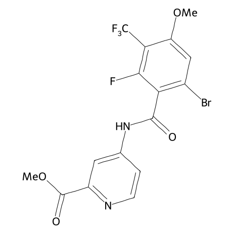 COC(=O)c1cc(NC(=O)c2c(Br)cc(OC)c(C(F)(F)F)c2F)ccn1